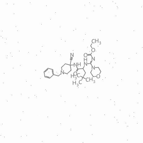 CCOC(=O)/N=C(\NC(CC(C)(C)C)C(=O)NC1(C#N)CCN(Cc2ccccc2)CC1)N1CCOCC1